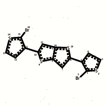 Brc1sccc1-c1cc2sc(-c3ccsc3Br)cc2s1